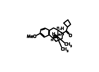 COc1ccc2c(c1)[C@]13CCN(C(=O)C4CCC4)[C@H](C2)[C@@H]1OC(C)(C)OC3